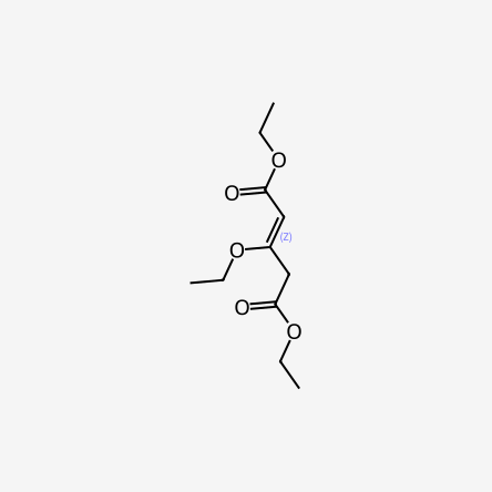 CCOC(=O)/C=C(/CC(=O)OCC)OCC